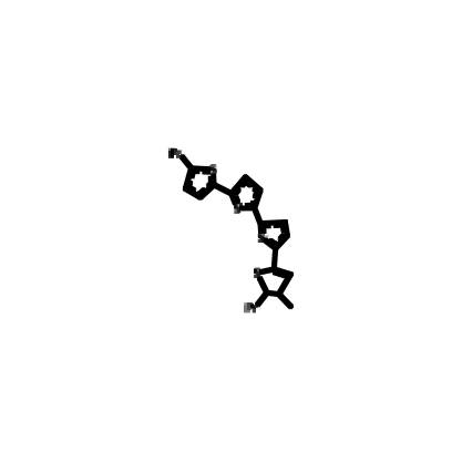 CC(C)c1ccc(-c2ccc(-c3ccc(C4=CC(C)C(C(C)C)S4)s3)s2)s1